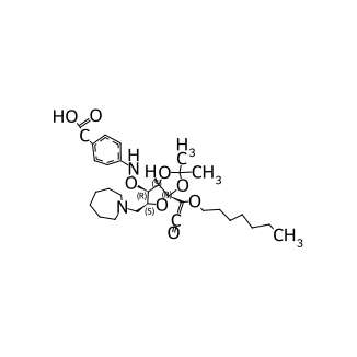 CCCCCCCOC(=C=O)[C@@]12O[C@@H](CN3CCCCCC3)[C@@H](ONc3ccc(CC(=O)O)cc3)[C@@H]1OC(C)(C)O2